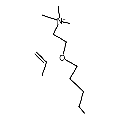 C=CC.CCCCCOCC[N+](C)(C)C